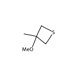 COC1(C)CSC1